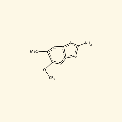 COc1cc2nc(N)sc2cc1OC(F)(F)F